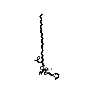 CCCCCCCCCCCCCCCCCCCC(COP(=O)(O)OCCN1CCCC1)CC(C)=O